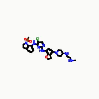 CNCCNC1CCN(c2ccc(Nc3ncc(Cl)c(Nc4cccc5c4N(S(C)(=O)=O)CC5)n3)c3c2CCO3)CC1